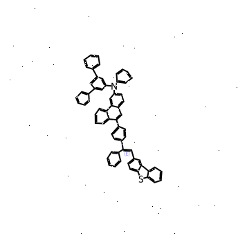 C(=C(/c1ccccc1)c1ccc(-c2cc3ccc(N(c4ccccc4)c4cc(-c5ccccc5)cc(-c5ccccc5)c4)cc3c3ccccc23)cc1)/c1ccc2sc3ccccc3c2c1